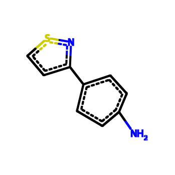 Nc1ccc(-c2ccsn2)cc1